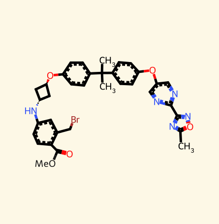 COC(=O)c1ccc(N[C@H]2C[C@H](Oc3ccc(C(C)(C)c4ccc(Oc5cnc(-c6noc(C)n6)nc5)cc4)cc3)C2)cc1CBr